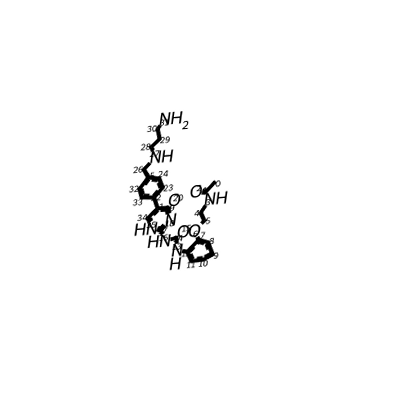 CC(=O)NCCOc1ccccc1NC(=O)Nc1nc(=O)c(-c2ccc(CNCCCN)cc2)c[nH]1